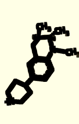 C[C@@H]1Cc2cc(C3CCNCC3)ccc2N(C)[C@H]1C